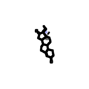 C/C=C1\C(=O)CC2C3CCC4=CC(=O)CCC4C3CC[C@]12C